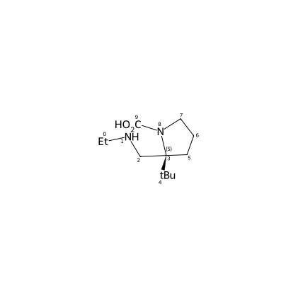 CCNC[C@@]1(C(C)(C)C)CCCN1C(=O)O